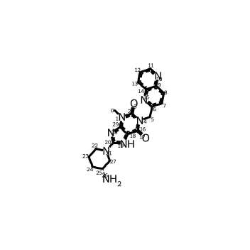 Cn1c(=O)n(Cc2ccc3ncccc3n2)c(=O)c2[nH]c(N3CCC[C@@H](N)C3)nc21